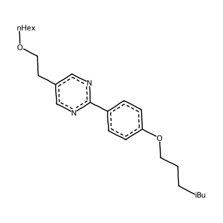 CCCCCCOCCc1cnc(-c2ccc(OCCCC(C)CC)cc2)nc1